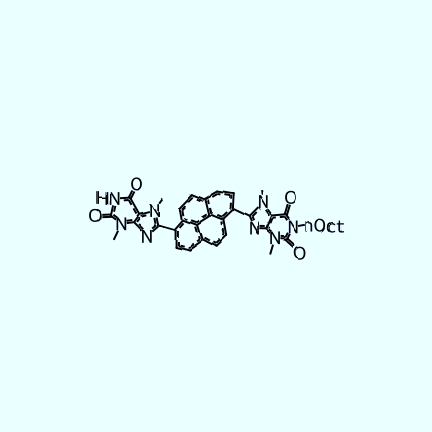 CCCCCCCCn1c(=O)c2c(nc(-c3ccc4ccc5c(-c6nc7c(c(=O)[nH]c(=O)n7C)n6C)ccc6ccc3c4c65)n2C)n(C)c1=O